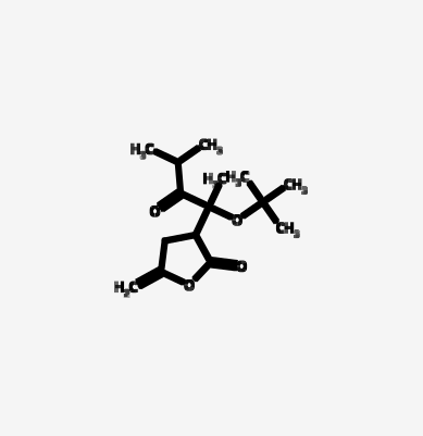 C=C1CC(C(C)(OC(C)(C)C)C(=O)C(C)C)C(=O)O1